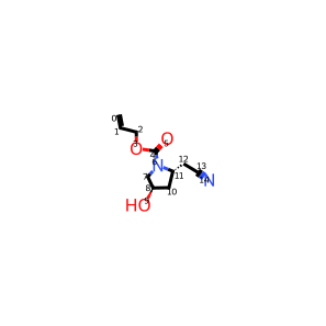 C=CCOC(=O)N1C[C@H](O)C[C@H]1CC#N